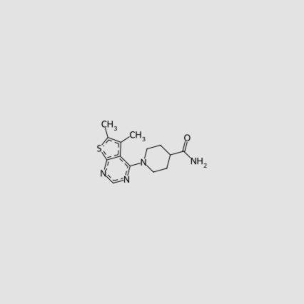 Cc1sc2ncnc(N3CCC(C(N)=O)CC3)c2c1C